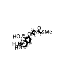 CSCC(=O)N1CC(Oc2ccc3c(c2C(=O)O)O[B-](O)(P)CC3)C1